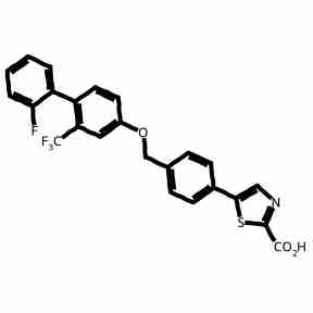 O=C(O)c1ncc(-c2ccc(COc3ccc(-c4ccccc4F)c(C(F)(F)F)c3)cc2)s1